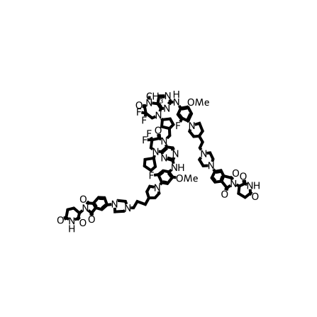 COc1cc(N2CCC(CCN3CCN(c4ccc5c(c4)C(=O)N(C4CCC(=O)NC4=O)C5=O)CC3)CC2)c(F)cc1Nc1ncc2c(n1)N(C1CCC(CN3C(=O)C(F)(F)CN(C4CCCC4)c4nc(Nc5cc(F)c(N6CCC(CCCN7CCN(c8ccc9c(c8)C(=O)N(C8CCC(=O)NC8=O)C9=O)CC7)CC6)cc5OC)ncc43)C1)CC(F)(F)C(=O)N2C